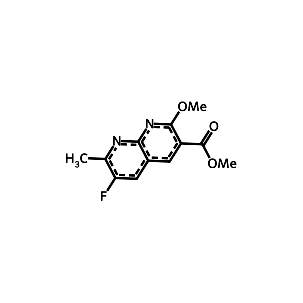 COC(=O)c1cc2cc(F)c(C)nc2nc1OC